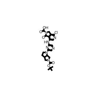 CC(C)(C)OC(=O)N1CC2CCN(c3cncc(Nc4cnc(Cl)c5c4C(=O)N(C(=O)O)C5)n3)C2C1